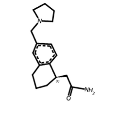 NC(=O)C[C@H]1CCCc2cc(CN3CCCC3)ccc21